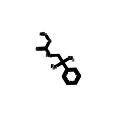 CCCCOC(=O)NCC(c1ccccc1)(C(F)(F)F)C(F)(F)F